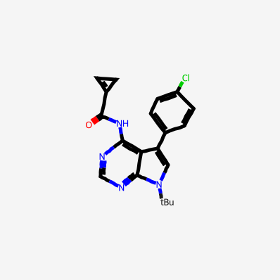 CC(C)(C)n1cc(-c2ccc(Cl)cc2)c2c(NC(=O)C3=CC3)ncnc21